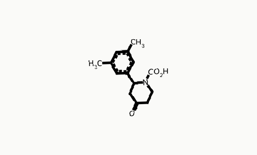 Cc1cc(C)cc(C2CC(=O)CCN2C(=O)O)c1